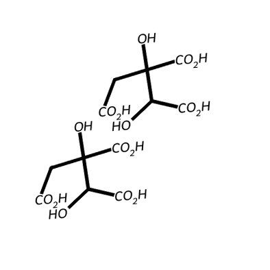 O=C(O)CC(O)(C(=O)O)C(O)C(=O)O.O=C(O)CC(O)(C(=O)O)C(O)C(=O)O